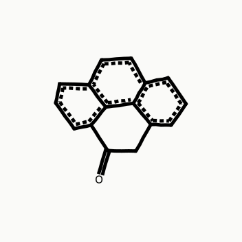 O=C1Cc2cccc3ccc4cccc1c4c23